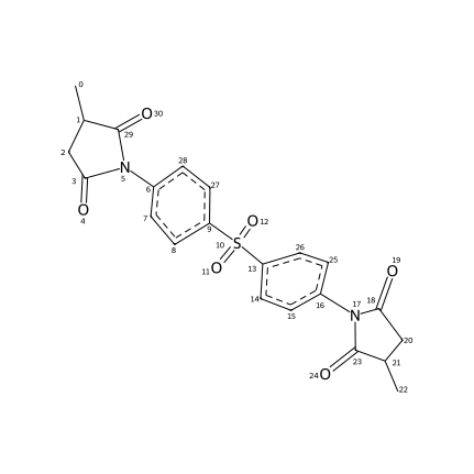 CC1CC(=O)N(c2ccc(S(=O)(=O)c3ccc(N4C(=O)CC(C)C4=O)cc3)cc2)C1=O